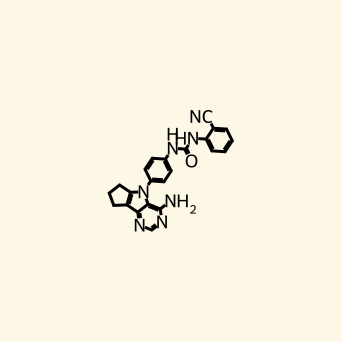 N#Cc1ccccc1NC(=O)Nc1ccc(-n2c3c(c4ncnc(N)c42)CCC3)cc1